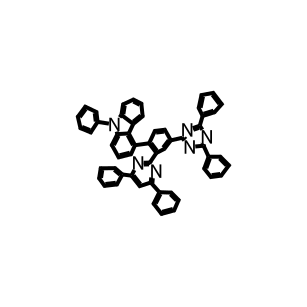 c1ccc(-c2cc(-c3ccccc3)nc(-c3cc(-c4nc(-c5ccccc5)nc(-c5ccccc5)n4)ccc3-c3cccc4c3c3ccccc3n4-c3ccccc3)n2)cc1